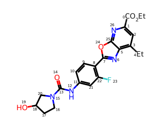 CCOC(=O)c1cc(CC)c2nc(-c3ccc(NC(=O)N4CCC(O)C4)cc3F)oc2n1